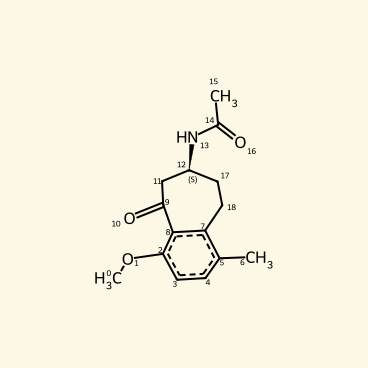 COc1ccc(C)c2c1C(=O)C[C@@H](NC(C)=O)CC2